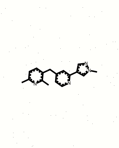 Cc1ccc(Cc2ccnc(-c3cnn(C)c3)c2)c(C)n1